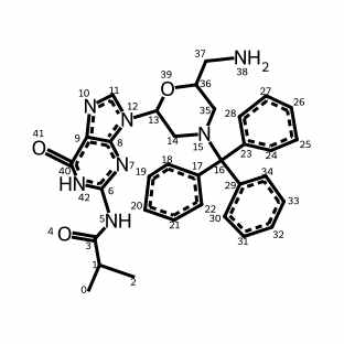 CC(C)C(=O)Nc1nc2c(ncn2C2CN(C(c3ccccc3)(c3ccccc3)c3ccccc3)CC(CN)O2)c(=O)[nH]1